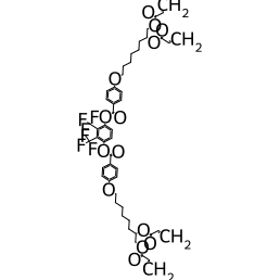 C=CC(=O)OCC(CCCCCCOc1ccc(C(=O)Oc2ccc(OC(=O)c3ccc(OCCCCCCC(COC(=O)C=C)OC(=O)C=C)cc3)c(C(F)(F)F)c2C(F)(F)F)cc1)OC(=O)C=C